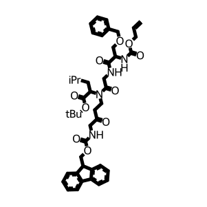 C=CCOC(=O)NC(COCc1ccccc1)C(=O)NCC(=O)N(CCC(=O)CNC(=O)OCC1c2ccccc2-c2ccccc21)C(CC(C)C)C(=O)OC(C)(C)C